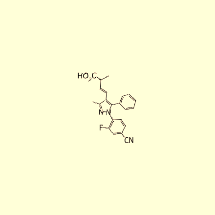 Cc1nn(-c2ccc(C#N)cc2F)c(-c2ccccc2)c1C=CC(C)C(=O)O